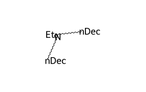 [CH2]Cc1cc(CCCCCCCCCCCCCCCCCCCCCCCC)nc(CCCCCCCCCCCCCCCCCCCCCCCC)c1